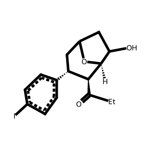 CCC(=O)[C@H]1[C@H](c2ccc(I)cc2)CC2CC(O)[C@@H]1O2